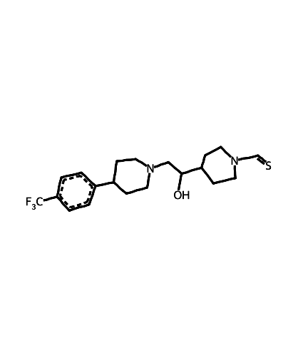 OC(CN1CCC(c2ccc(C(F)(F)F)cc2)CC1)C1CCN(C=S)CC1